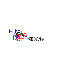 CCC(C)(N)[C@H](OP(=O)(O)O)c1ccc(OCCCc2ccc(OC)cc2)cc1